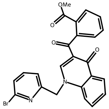 COC(=O)c1ccccc1C(=O)c1cn(Cc2cccc(Br)n2)c2ccccc2c1=O